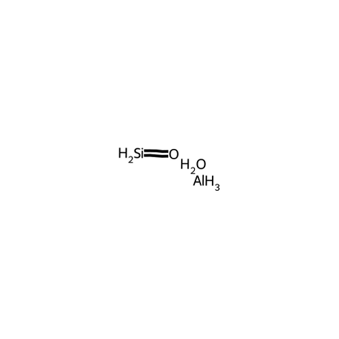 O.O=[SiH2].[AlH3]